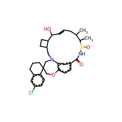 CC1C/C=C/C(O)C2CCC2CN2CC3(CCCc4cc(Cl)ccc43)COc3ccc(cc32)C(=O)N[S+]([O-])C1C